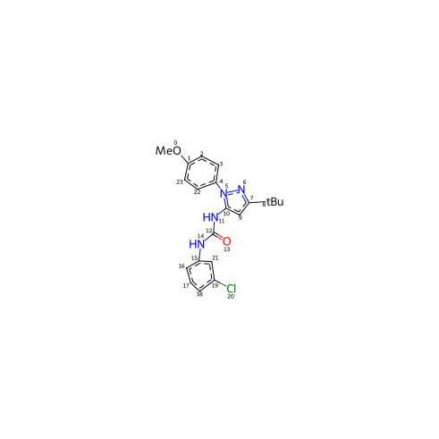 COc1ccc(-n2nc(C(C)(C)C)cc2NC(=O)Nc2cccc(Cl)c2)cc1